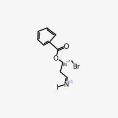 O=C(O[C@H](CBr)C/C=N\I)c1ccccc1